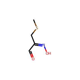 CSCC(C=O)=NO